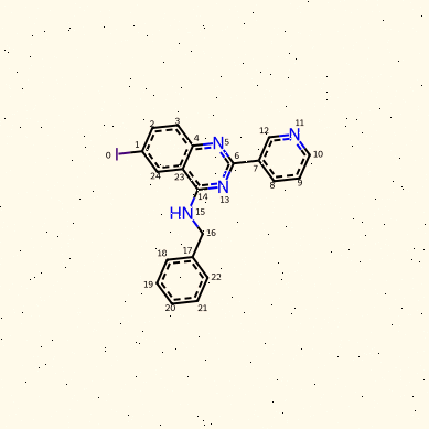 Ic1ccc2nc(-c3cccnc3)nc(NCc3ccccc3)c2c1